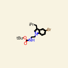 CC(C)Cc1cn(CCNC(=O)OC(C)(C)C)c2ccc(Br)cc12